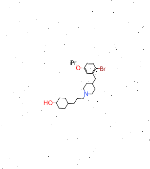 CC(C)Oc1ccc(Br)c(CC2CCN(CCCC3CCC(O)CC3)CC2)c1